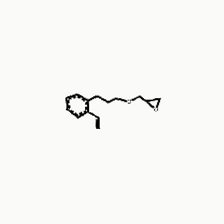 C=Cc1ccccc1CCCOCC1CO1